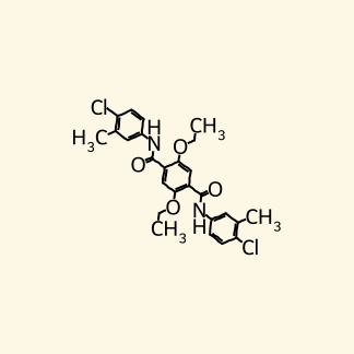 CCOc1cc(C(=O)Nc2ccc(Cl)c(C)c2)c(OCC)cc1C(=O)Nc1ccc(Cl)c(C)c1